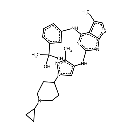 Cc1nn(C2CCN(C3CC3)CC2)cc1Nc1nc(Nc2cccc(C(C)(C)O)c2)c2c(C)csc2n1